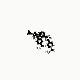 CC(=O)N1CCC(c2nc(-c3cncc(C(O)(c4ccc(C(C)C)cc4)C4(C)CN(C5CC5)C4)c3)no2)CC1